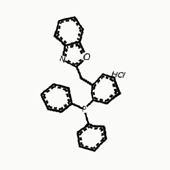 Cl.c1ccc(P(c2ccccc2)c2ccccc2Cc2nc3ccccc3o2)cc1